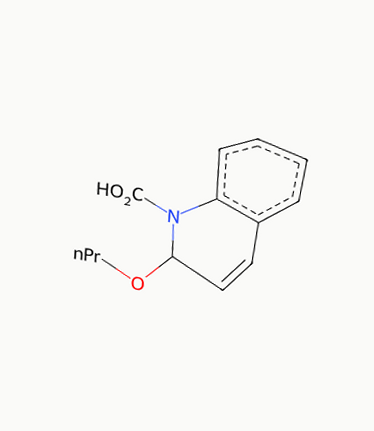 CCCOC1C=Cc2ccccc2N1C(=O)O